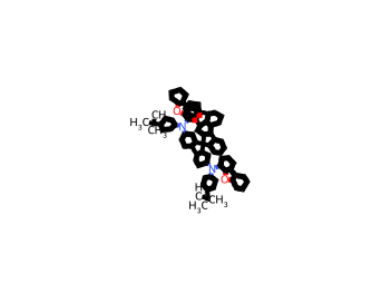 CC(C)(C)c1ccc(N(c2ccc3c(c2)C2(c4cc(N(c5ccc(C(C)(C)C)cc5)c5cccc6c5oc5ccccc56)ccc4-3)c3ccccc3-c3c2cc2c4c(cccc34)-c3ccccc3-2)c2cccc3c2oc2ccccc23)cc1